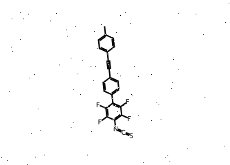 Cc1ccc(C#Cc2ccc(-c3c(F)c(F)c(N=C=S)c(F)c3F)cc2)cc1